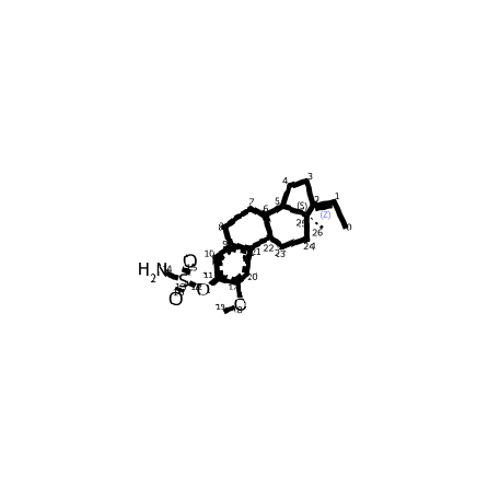 C/C=C1/CCC2C3CCc4cc(OS(N)(=O)=O)c(OC)cc4C3CC[C@]12C